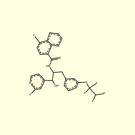 O=C(NC(Cc1cccc(OC(F)(F)C(F)F)c1)C(O)c1ccnc(F)c1)c1ccc(F)c2ccccc12